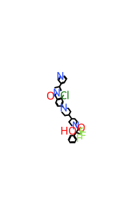 O=C(c1ccc(N2CCC(C3CCN(C(=O)C(O)(c4ccccc4)C(F)(F)F)CC3)CC2)cc1Cl)N1CC(c2cccnc2)C1